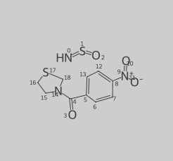 N=S=O.O=C(c1ccc([N+](=O)[O-])cc1)N1CCSC1